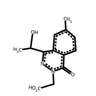 Cc1ccc2c(=O)n(CC(=O)O)nc(C(C)O)c2c1